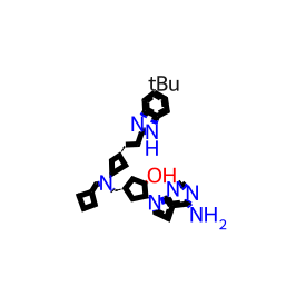 CC(C)(C)c1ccc2[nH]c(CC[C@H]3C[C@H](N(CC4CCC4)C[C@@H]4C[C@@H](O)[C@H](n5ccc6c(N)ncnc65)C4)C3)nc2c1